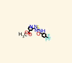 COC(=O)c1ccnc(-c2nsc(NC(=O)c3ccc(C(F)(F)F)cc3)n2)c1